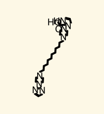 O=C(O)C1(N2CCN(CCCCCCCCCCCCN3CCN(c4ncccn4)CC3)CC2)N=CC=CN1